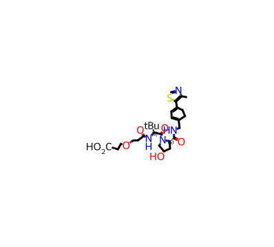 Cc1ncsc1C1=CC=C(CNC(=O)[C@@H]2CC(O)CN2C(=O)[C@@H](NC(=O)CCOCCC(=O)O)C(C)(C)C)CC1